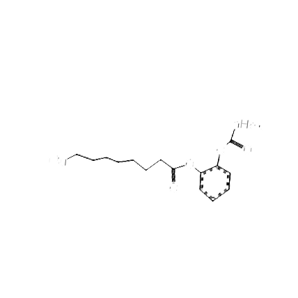 CCCCCCC(=O)Oc1ccccc1OC(=O)CCCCCCCC(C)(C)C